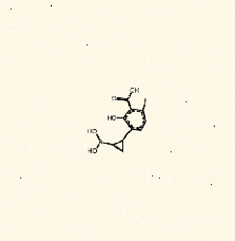 O=C(O)c1c(F)ccc(C2CC2B(O)O)c1O